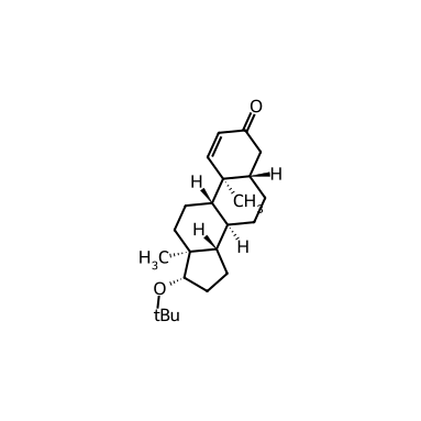 CC(C)(C)O[C@H]1CC[C@H]2[C@@H]3CC[C@H]4CC(=O)C=C[C@]4(C)[C@H]3CC[C@]12C